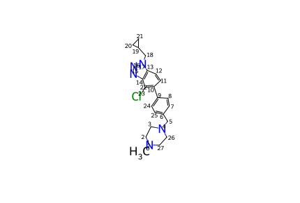 CN1CCN(Cc2ccc(-c3ccc4c(nnn4CC4CC4)c3Cl)cc2)CC1